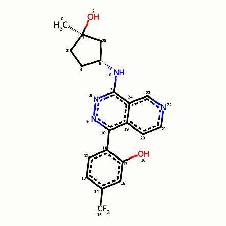 C[C@@]1(O)CC[C@@H](Nc2nnc(-c3ccc(C(F)(F)F)cc3O)c3ccncc23)C1